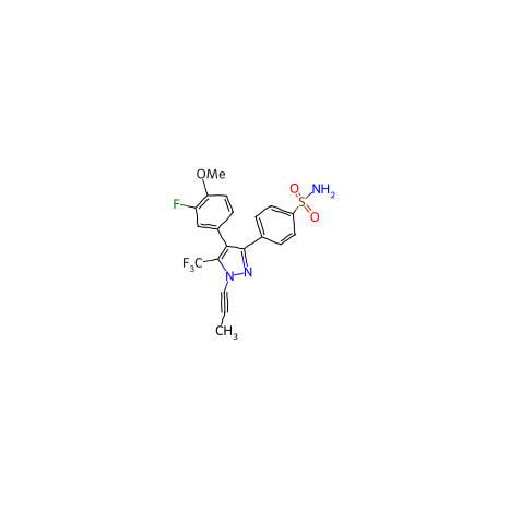 CC#Cn1nc(-c2ccc(S(N)(=O)=O)cc2)c(-c2ccc(OC)c(F)c2)c1C(F)(F)F